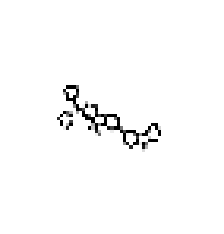 CC1(C)c2cc(-c3ccc4sc5ccccc5c4c3)ccc2-c2ccc(N(c3ccccc3)c3ccccc3)cc21